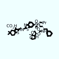 CC(C)CN(CC[C@H](Cc1ccccc1)NC(=O)O[C@H]1CO[C@@]2(C)OCC[C@@H]12)S(=O)(=O)c1ccc2nc(NCc3sc4c(c3C(=O)O)CC(C)(C)CC4)sc2c1